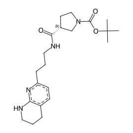 CC(C)(C)OC(=O)N1CC[C@@H](C(=O)NCCCc2ccc3c(n2)NCCC3)C1